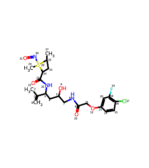 C=C(C)C(CC(O)CNC(=O)COc1ccc(Cl)c(F)c1)NC(=O)C1CC(C)S1(C)N=O